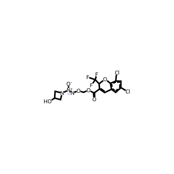 O=C(OCO/N=[N+](\[O-])N1CC(O)C1)C1=Cc2cc(Cl)cc(Cl)c2OC1C(F)(F)F